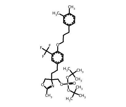 CC1=NC(CCc2ccc(OCCCc3ccc(C)c(C)c3)c(C(F)(F)F)c2)(COP(=O)(OC(C)(C)C)OC(C)(C)C)CO1